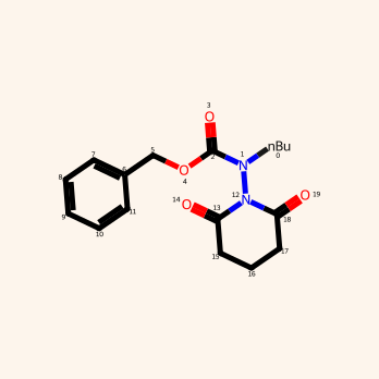 CCCCN(C(=O)OCc1ccccc1)N1C(=O)CCCC1=O